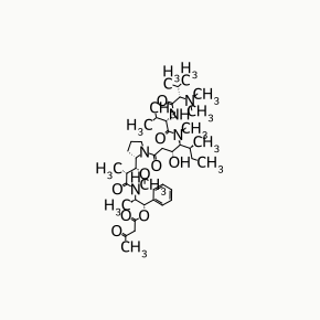 CC[C@H](C)[C@@H]([C@H](O)CC(=O)N1CCC[C@H]1[C@H](OC)[C@@H](C)C(=O)N[C@H](C)[C@@H](OC(=O)CC(C)=O)c1ccccc1)N(C)C(=O)[C@@H](NC(=O)[C@H](C(C)C)N(C)C)C(C)C